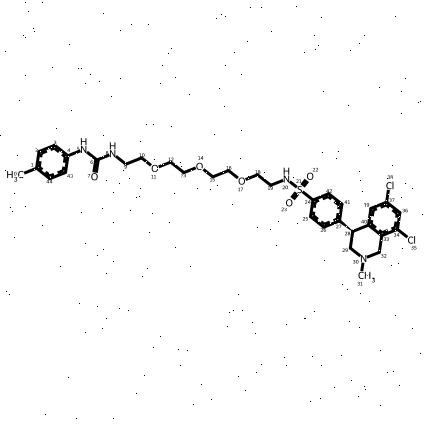 Cc1ccc(NC(=O)NCCOCCOCCOCCNS(=O)(=O)c2ccc([C@@H]3CN(C)Cc4c(Cl)cc(Cl)cc43)cc2)cc1